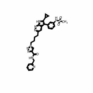 CS(=O)(=O)Nc1cccc(-c2c(C3CC3)[nH]c3nnc(CCCCn4cc(C(=O)NCc5ccccn5)nn4)cc23)c1